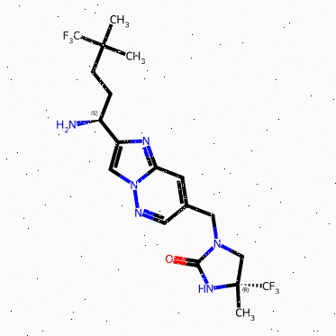 CC(C)(CC[C@H](N)c1cn2ncc(CN3C[C@](C)(C(F)(F)F)NC3=O)cc2n1)C(F)(F)F